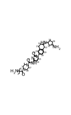 CC(C)(N)C(=O)N1CCN(C(=O)Nc2ccn(-c3ccc4c(c3)CCC(N[C@H]3CC[C@H](N)C3)C4)c(=O)n2)CC1